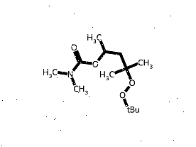 CC(CC(C)(C)OOC(C)(C)C)OC(=O)N(C)C